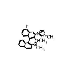 COc1ccc2ccccc2c1-c1c(OC)c(-[n+]2ccn(C)c2)cc2ccccc12.[I-]